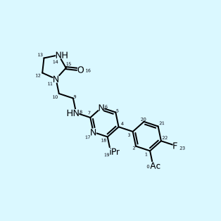 CC(=O)c1cc(-c2cnc(NCCN3CCNC3=O)nc2C(C)C)ccc1F